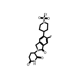 CCS(=O)(=O)N1CCC(c2cc3c(cc2F)C(=O)N(C2CCC(=O)NC2=O)C3)CC1